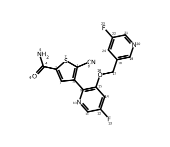 N#Cc1sc(C(N)=O)cc1-c1ncc(F)cc1OCc1cncc(F)c1